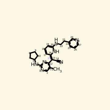 Cc1cnc(NC2CCCC2)nc1/C(C#N)=C1\C=CC=C(NCCc2cccnc2)N1